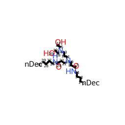 CCCCCCCCCCCCCCNC(=O)CCN(CCCN(CCO)CCO)CCC(=O)NCCCCCCCCCCCCCC